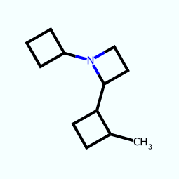 CC1CCC1C1CCN1C1CCC1